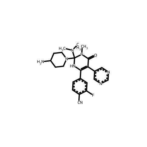 CN(C)C1(N2CCC(N)CC2)NC(c2ccc(C#N)c(F)c2)=C(c2cncnc2)C(=O)N1C